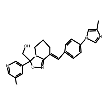 Cc1cn(-c2ccc(/C=C3\CCCN4C3=NOC4(CO)c3cncc(F)c3)cc2)cn1